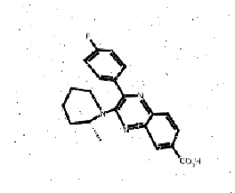 C[C@@H]1CCCCN1c1nc2cc(C(=O)O)ccc2nc1-c1ccc(F)cc1